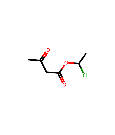 CC(=O)CC(=O)OC(C)Cl